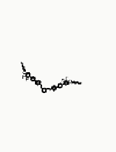 CCCCCCOc1ccc(-c2ccc(-c3ccc(CCc4cccc(CCc5ccc(-c6ccc(-c7ccc(OCCCCCC)c(F)c7F)cc6)cc5)c4)cc3)cc2)c(F)c1F